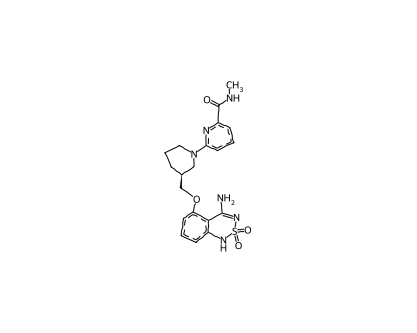 CNC(=O)c1cccc(N2CCC[C@H](COc3cccc4c3C(N)=NS(=O)(=O)N4)C2)n1